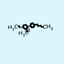 CCCCCc1ccc([C@@H]2CC[C@@H](CCC)C[C@H]2OC)cc1